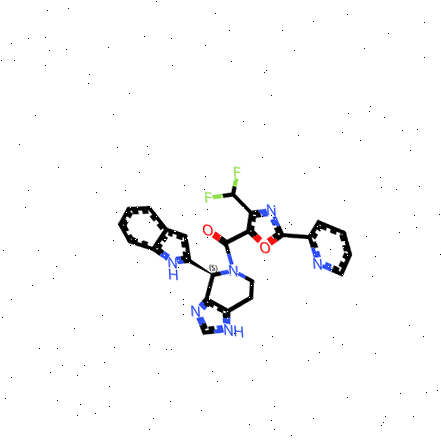 O=C(c1oc(-c2ccccn2)nc1C(F)F)N1CCc2[nH]cnc2[C@H]1c1cc2ccccc2[nH]1